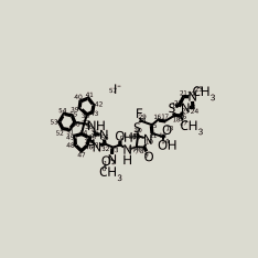 CON=C(C(=O)N[C@@H]1C(=O)N2C(C(=O)O)=C(C=Cc3sc4cn(C)c[n+]4c3C)C(F)S[C@H]12)c1nsc(NC(c2ccccc2)(c2ccccc2)c2ccccc2)n1.[I-]